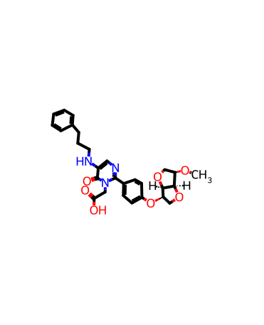 CO[C@@H]1CO[C@H]2[C@@H]1OC[C@H]2Oc1ccc(-c2ncc(NCCCc3ccccc3)c(=O)n2CC(=O)O)cc1